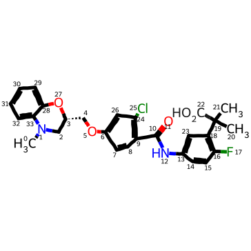 CN1C[C@@H](COc2ccc(C(=O)Nc3ccc(F)c(C(C)(C)C(=O)O)c3)c(Cl)c2)Oc2ccccc21